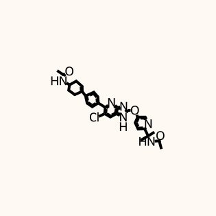 CC(=O)NC1CC=C(c2ccc(-c3nc4nc(Oc5ccc(C(C)(C)NC(C)=O)nc5)[nH]c4cc3Cl)cc2)CC1